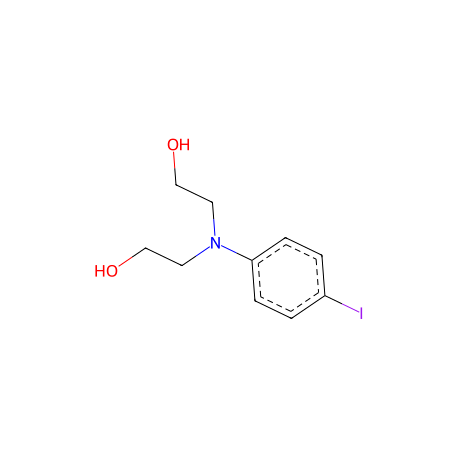 OCCN(CCO)c1ccc(I)cc1